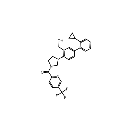 O=C(c1ccc(C(F)(F)F)cn1)N1CC[C@@H](c2ccc(-c3ccccc3C3CC3)cc2CO)C1